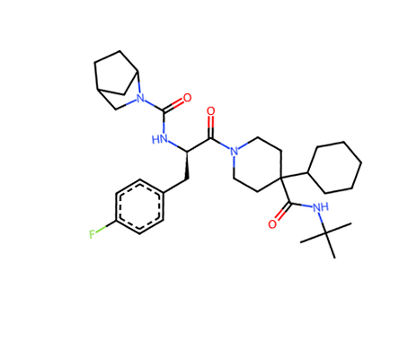 CC(C)(C)NC(=O)C1(C2CCCCC2)CCN(C(=O)[C@@H](Cc2ccc(F)cc2)NC(=O)N2CC3CCC2C3)CC1